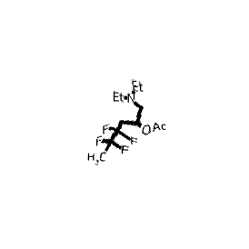 CCN(CC)CC(CC(F)(F)C(C)(F)F)OC(C)=O